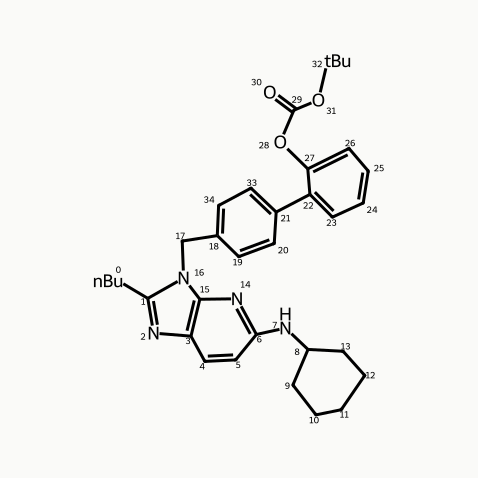 CCCCc1nc2ccc(NC3CCCCC3)nc2n1Cc1ccc(-c2ccccc2OC(=O)OC(C)(C)C)cc1